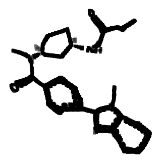 CCC(=O)N[C@H]1CC[C@@H](N(C)C(=O)c2ccc(-c3nc4ccccc4n3C)cc2)C1